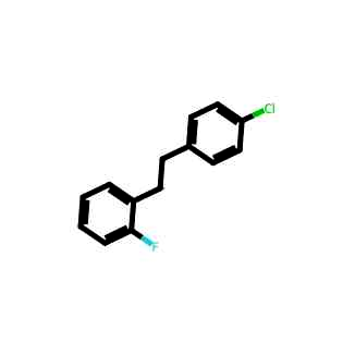 Fc1ccccc1[CH]Cc1ccc(Cl)cc1